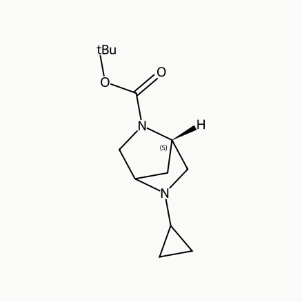 CC(C)(C)OC(=O)N1CC2C[C@H]1CN2C1CC1